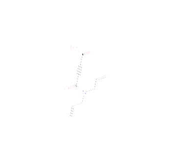 C=CCN(CC=C)C(=O)C#CC(=O)O